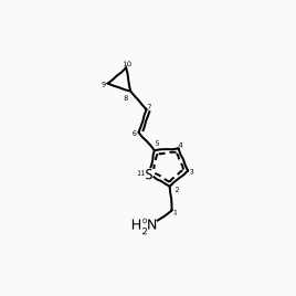 NCc1ccc(C=CC2CC2)s1